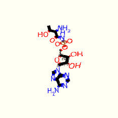 CC(O)C(N)C(=O)NS(=O)(=O)OC[C@H]1O[C@@H](n2cnc3c(N)ncnc32)[C@H](O)[C@@H]1O